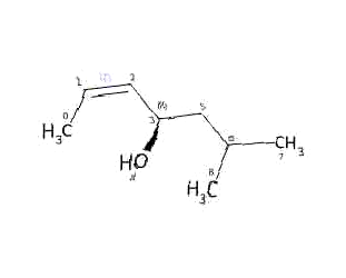 C/C=C\[C@H](O)CC(C)C